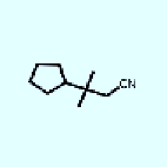 [CH2]C(C)(CC#N)C1CCCC1